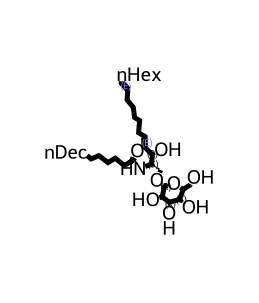 CCCCCC/C=C/CCCCC/C=C/[C@@H](O)[C@H](CO[C@@H]1OC(CO)[C@@H](O)[C@@H](O)C1O)NC(=O)CCCCCCCCCCCCCCC